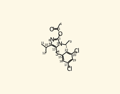 CCn1c(OC(C)=O)nc(C(C)C)c1Sc1cc(Cl)cc(Cl)c1